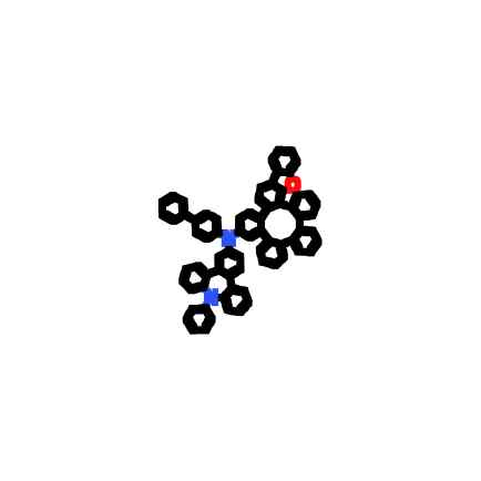 c1ccc(-c2ccc(N(c3ccc4c(c3)-c3ccccc3N(c3ccccc3)c3ccccc3-4)c3ccc4c(c3)c3ccccc3c3ccccc3c3ccccc3c3c4ccc4c5ccccc5oc43)cc2)cc1